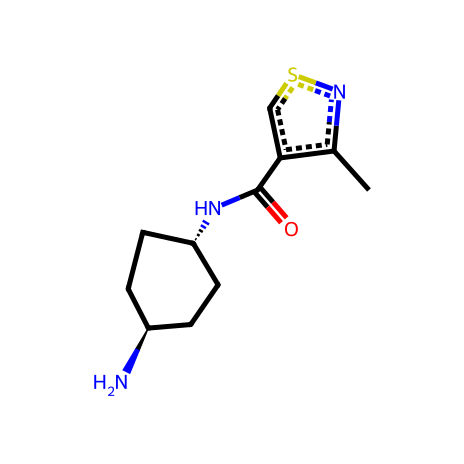 Cc1nscc1C(=O)N[C@H]1CC[C@H](N)CC1